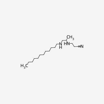 CCCCCCCCCCCCNCC(C)NCCC#N